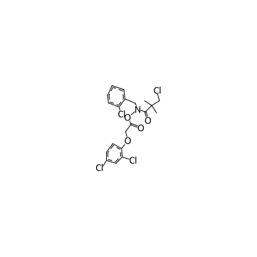 CC(C)(CCl)C(=O)N(Cc1ccccc1Cl)OC(=O)COc1ccc(Cl)cc1Cl